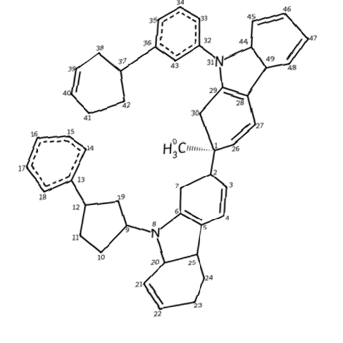 C[C@@]1(C2C=CC3=C(C2)N(C2CCC(c4ccccc4)C2)C2C=CCCC32)C=CC2=C(C1)N(c1cccc(C3CC=CCC3)c1)C1C=CC=CC21